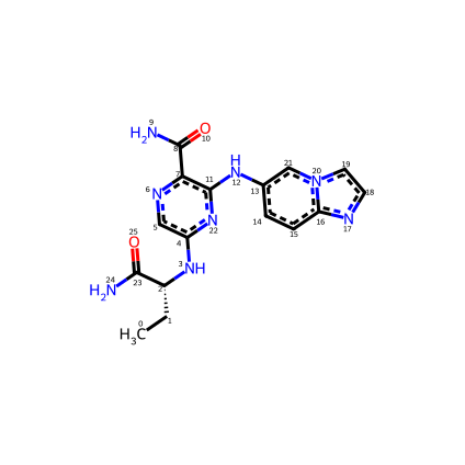 CC[C@@H](Nc1cnc(C(N)=O)c(Nc2ccc3nccn3c2)n1)C(N)=O